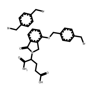 BrCc1ccc(CBr)cc1.NC(=O)C(CCC(=O)O)N1Cc2c(OCc3ccc(CBr)cc3)cccc2C1=O